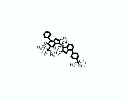 COc1c(C(C)(C)C)cc2c(c1-c1ccccc1)C=C(C)C2[Si](C)(C)C1C(C)=Cc2c(-c3ccc(C(C)(C)C)cc3)cccc21